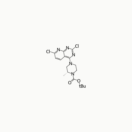 C[C@@H]1CN(c2nc(Cl)nc3nc(Cl)ccc23)CCN1C(=O)OC(C)(C)C